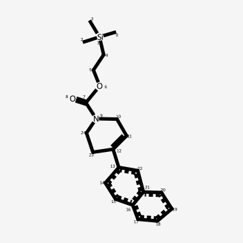 C[Si](C)(C)CCOC(=O)N1CC=C(c2ccc3ccccc3c2)CC1